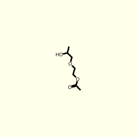 CC(=O)OCCOCC(C)O